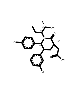 CC[C@@H]([C@H](C)O)N1C(=O)[C@@](C)(CC(=O)O)CC(c2cccc(Cl)c2)[C@H]1c1ccc(Cl)cc1